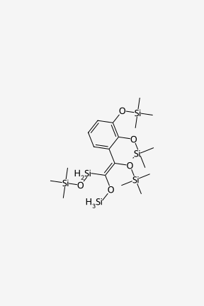 C[Si](C)(C)O[SiH2]C(O[SiH3])=C(O[Si](C)(C)C)c1cccc(O[Si](C)(C)C)c1O[Si](C)(C)C